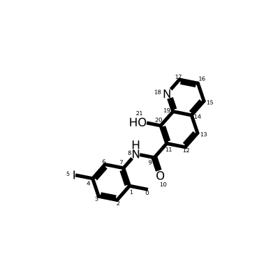 Cc1ccc(I)cc1NC(=O)c1ccc2cccnc2c1O